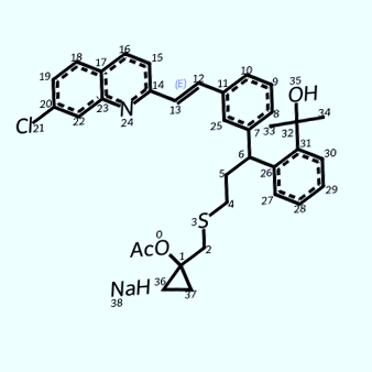 CC(=O)OC1(CSCCC(c2cccc(/C=C/c3ccc4ccc(Cl)cc4n3)c2)c2ccccc2C(C)(C)O)CC1.[NaH]